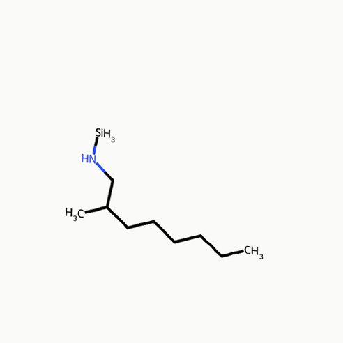 CCCCCCC(C)CN[SiH3]